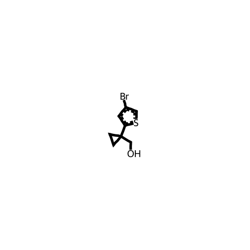 OCC1(c2cc(Br)cs2)CC1